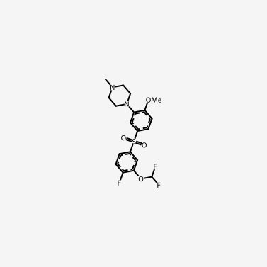 COc1ccc(S(=O)(=O)c2ccc(F)c(OC(F)F)c2)cc1N1CCN(C)CC1